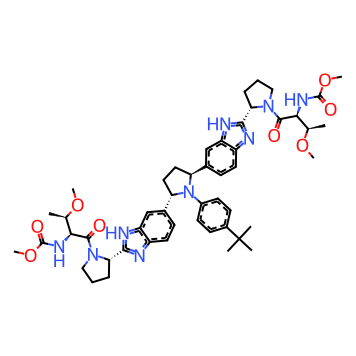 COC(=O)N[C@H](C(=O)N1CCC[C@H]1c1nc2ccc([C@@H]3CC[C@@H](c4ccc5nc([C@@H]6CCCN6C(=O)[C@@H](NC(=O)OC)[C@@H](C)OC)[nH]c5c4)N3c3ccc(C(C)(C)C)cc3)cc2[nH]1)[C@@H](C)OC